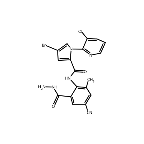 Cc1cc(C#N)cc(C(=O)NN)c1NC(=O)c1cc(Br)cn1-c1ncccc1Cl